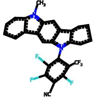 Cn1c2ccccc2c2cc3c(cc21)c1ccccc1n3-c1c(F)c(F)c(C#N)c(F)c1C(F)(F)F